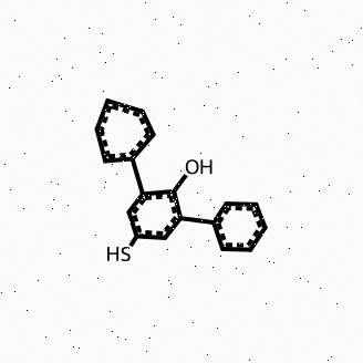 Oc1c(-c2ccccc2)cc(S)cc1-c1ccccc1